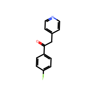 O=C([CH]c1ccncc1)c1ccc(F)cc1